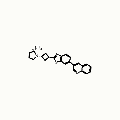 C[C@H]1CCCN1[C@H]1C[C@H](c2nc3ccc(-c4cnc5ccccc5c4)cc3s2)C1